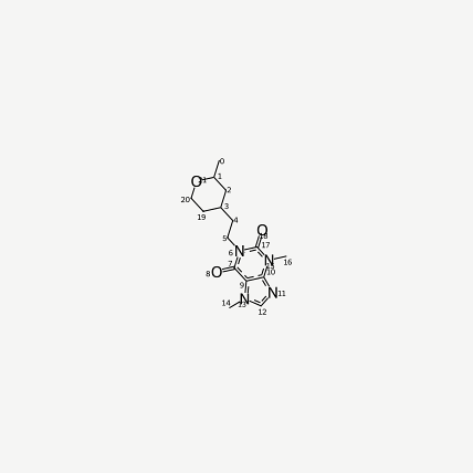 CC1CC(CCn2c(=O)c3c(ncn3C)n(C)c2=O)CCO1